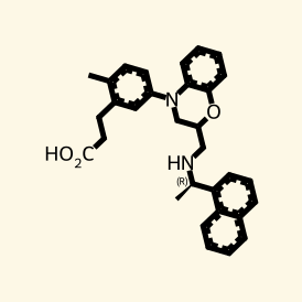 Cc1ccc(N2CC(CN[C@H](C)c3cccc4ccccc34)Oc3ccccc32)cc1CCC(=O)O